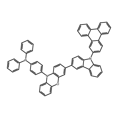 c1ccc(N(c2ccccc2)c2ccc(N3c4ccccc4Oc4cc(-c5ccc6c(c5)c5ccccc5n6-c5ccc6c7ccccc7c7ccccc7c6c5)ccc43)cc2)cc1